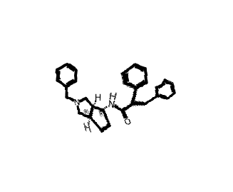 O=C(N[C@@H]1CC[C@H]2CN(Cc3ccccc3)C[C@H]21)C(Cc1ccccc1)c1ccccc1